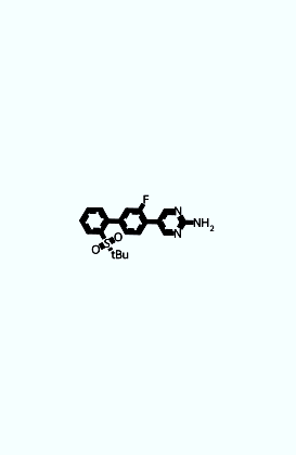 CC(C)(C)S(=O)(=O)c1ccccc1-c1ccc(-c2cnc(N)nc2)c(F)c1